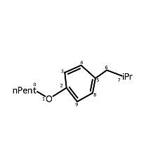 CCCCCOc1ccc(CC(C)C)cc1